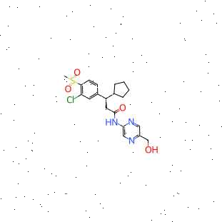 CS(=O)(=O)c1ccc([C@H](CC(=O)Nc2cnc(CO)cn2)C2CCCC2)cc1Cl